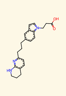 O=C(O)CCn1ccc2cc(CCCc3ccc4c(n3)NCCC4)ccc21